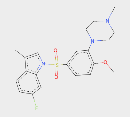 COc1ccc(S(=O)(=O)n2cc(C)c3ccc(F)cc32)cc1N1CCN(C)CC1